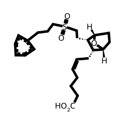 O=C(O)CCC/C=C\C[C@@H]1[C@H](CCS(=O)(=O)CCCc2ccccc2)[C@@H]2CC[C@H]1O2